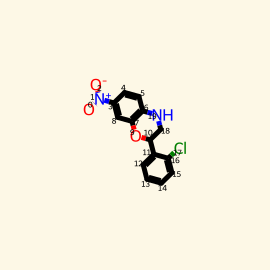 O=[N+]([O-])c1ccc2c(c1)OC(c1ccccc1Cl)CN2